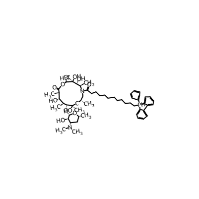 CC[C@H]1OC(=O)[C@H](C)[C@@H](O)[C@H](C)[C@@H](O[C@@H]2O[C@H](C)C[C@H](N(C)C)[C@H]2O)[C@](C)(O)C[C@@H](C)CN(C(=O)CCCCCCCCCCC[PH]2(c3ccccc3)c3ccccc3-c3ccccc32)[C@H](C)[C@@H](O)[C@]1(C)O